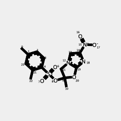 Cc1ccc(S(=O)(=O)OC2(C)Cn3cc([N+](=O)[O-])nc3O2)c(C)c1